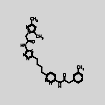 Cc1cccc(CC(=O)Nc2ccc(CCCCc3nnc(NC(=O)Cn4nc(C)cc4C)s3)nn2)c1